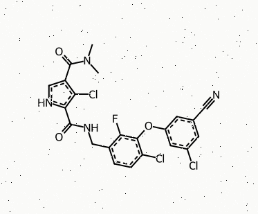 CN(C)C(=O)c1c[nH]c(C(=O)NCc2ccc(Cl)c(Oc3cc(Cl)cc(C#N)c3)c2F)c1Cl